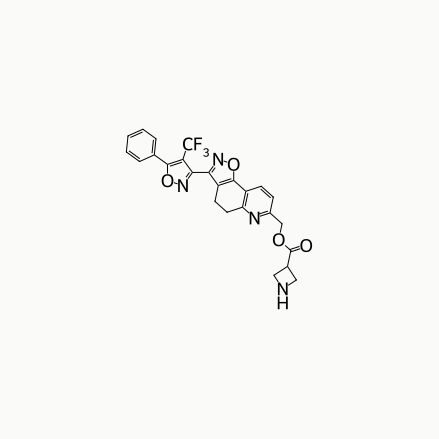 O=C(OCc1ccc2c(n1)CCc1c(-c3noc(-c4ccccc4)c3C(F)(F)F)noc1-2)C1CNC1